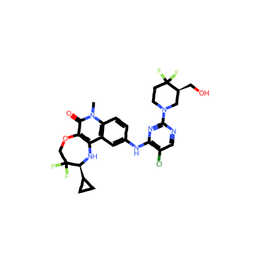 Cn1c(=O)c2c(c3cc(Nc4nc(N5CCC(F)(F)[C@@H](CO)C5)ncc4Cl)ccc31)N[C@@H](C1CC1)C(F)(F)CO2